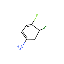 NC1=CC=C(F)C(Cl)C1